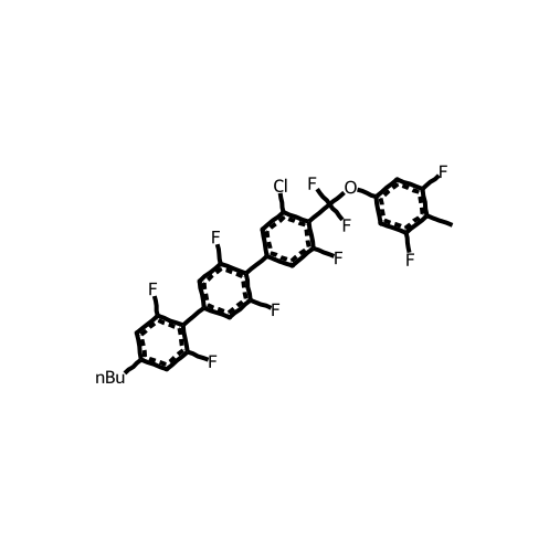 CCCCc1cc(F)c(-c2cc(F)c(-c3cc(F)c(C(F)(F)Oc4cc(F)c(C)c(F)c4)c(Cl)c3)c(F)c2)c(F)c1